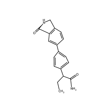 CCC(C(N)=O)c1ccc(-c2ccc3c(c2)C(=O)NC3)cc1